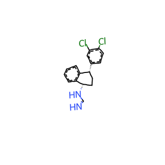 N=CN[C@H]1CC[C@@H](c2ccc(Cl)c(Cl)c2)c2ccccc21